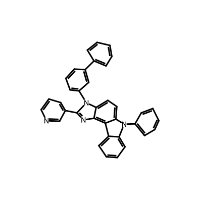 c1ccc(-c2cccc(-n3c(-c4cccnc4)nc4c5c6ccccc6n(-c6ccccc6)c5ccc43)c2)cc1